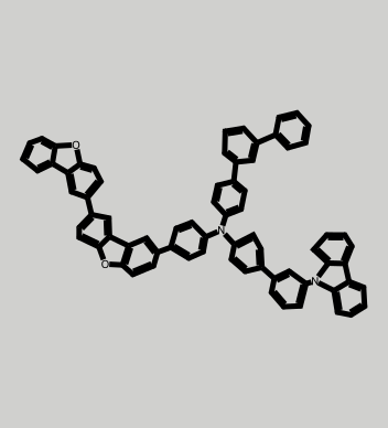 c1ccc(-c2cccc(-c3ccc(N(c4ccc(-c5cccc(-n6c7ccccc7c7ccccc76)c5)cc4)c4ccc(-c5ccc6oc7ccc(-c8ccc9oc%10ccccc%10c9c8)cc7c6c5)cc4)cc3)c2)cc1